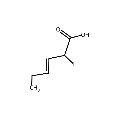 CCC=CC(I)C(=O)O